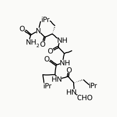 CC(C)CC(NC(=O)[C@H](CC(C)C)NC=O)C(=O)NC(C)C(=O)N[C@@H](CC(C)C)C(=O)N(C)C(N)=O